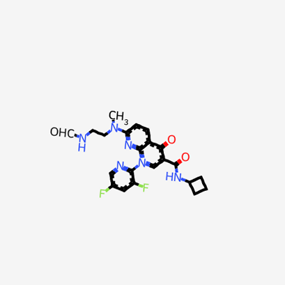 CN(CCNC=O)c1ccc2c(=O)c(C(=O)NC3CCC3)cn(-c3ncc(F)cc3F)c2n1